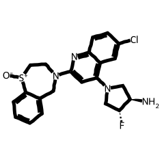 N[C@@H]1CN(c2cc(N3CC[S+]([O-])c4ccccc4C3)nc3ccc(Cl)cc23)C[C@H]1F